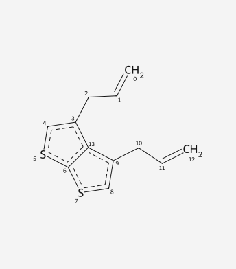 C=CCc1csc2scc(CC=C)c12